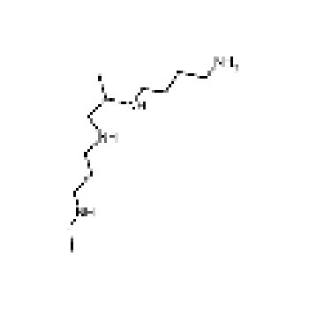 CCNCCCNCC(C)NCCCCN